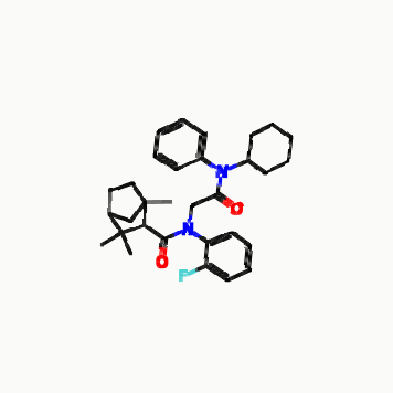 CC12CCC(C1)C(C)(C)C2C(=O)N(CC(=O)N(c1ccccc1)C1CCCCC1)c1ccccc1F